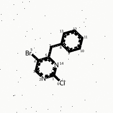 Clc1ncc(Br)c(Cc2ccccc2)n1